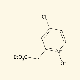 CCOC(=O)Cc1cc(Cl)cc[n+]1[O-]